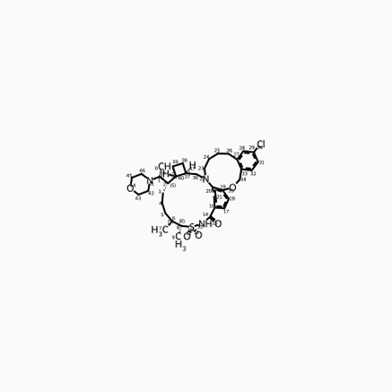 C[C@H]([C@H]1CCC[C@H](C)[C@@H](C)S(=O)(=O)NC(=O)c2ccc3c(c2)N(CCCCc2cc(Cl)ccc2CO3)C[C@@H]2CC[C@H]21)N1CCOCC1